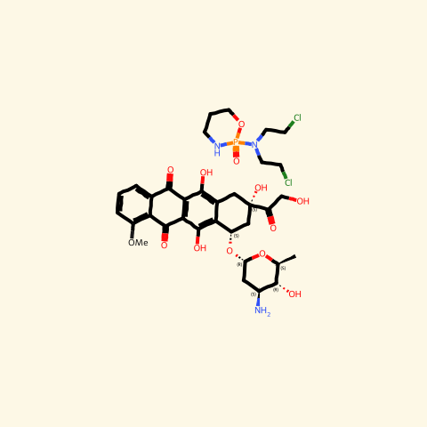 COc1cccc2c1C(=O)c1c(O)c3c(c(O)c1C2=O)C[C@@](O)(C(=O)CO)C[C@@H]3O[C@H]1C[C@H](N)[C@@H](O)[C@H](C)O1.O=P1(N(CCCl)CCCl)NCCCO1